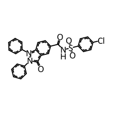 O=C(NS(=O)(=O)c1ccc(Cl)cc1)c1ccc2c(c1)c(=O)n(-c1ccccc1)n2-c1ccccc1